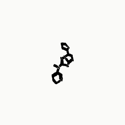 CN(c1cccnc1)c1nn2c(-c3cccs3)cnc2s1